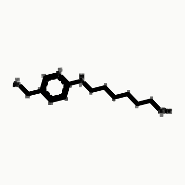 CCCCCCCCCCCCCCCCNc1ccc(CC(C)=O)cn1